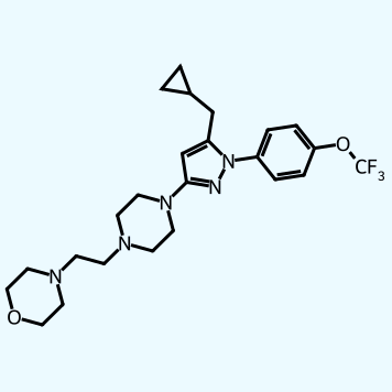 FC(F)(F)Oc1ccc(-n2nc(N3CCN(CCN4CCOCC4)CC3)cc2CC2CC2)cc1